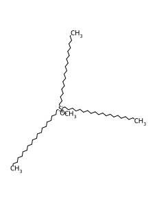 CCCCCCCCCCCCCCCCCCCC[Si](CCCCCCCCCCCCCCCCCCCC)(CCCCCCCCCCCCCCCCCCCC)OC